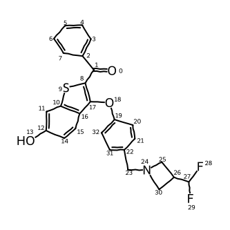 O=C(c1ccccc1)c1sc2cc(O)ccc2c1Oc1ccc(CN2CC(C(F)F)C2)cc1